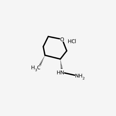 C[C@@H]1CCOC[C@@H]1NN.Cl